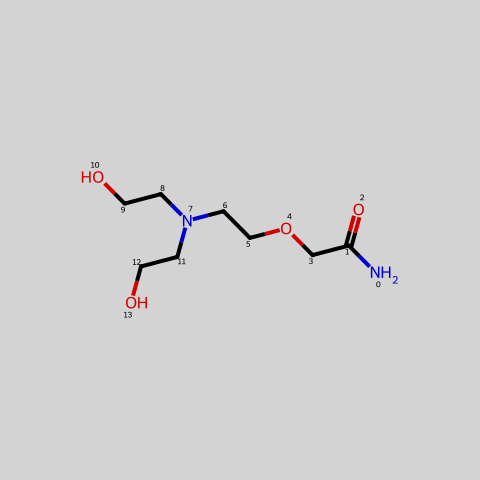 NC(=O)COCCN(CCO)CCO